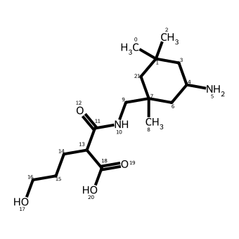 CC1(C)CC(N)CC(C)(CNC(=O)C(CCCO)C(=O)O)C1